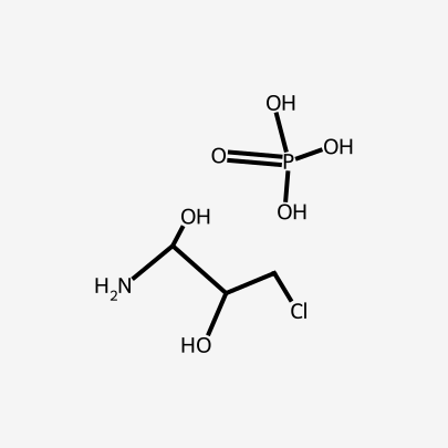 NC(O)C(O)CCl.O=P(O)(O)O